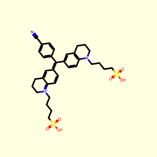 N#Cc1ccc(/C(c2ccc3c(c2)CCCN3CCCCS(=O)(=O)O)=c2/ccc3c(c2)CCC[N+]=3CCCCS(=O)(=O)O)cc1